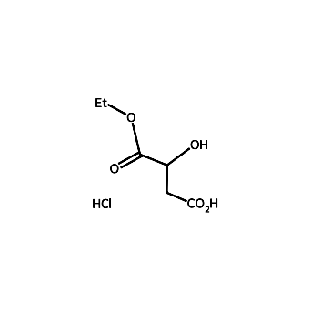 CCOC(=O)C(O)CC(=O)O.Cl